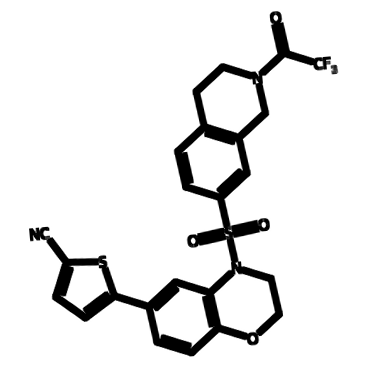 N#Cc1ccc(-c2ccc3c(c2)N(S(=O)(=O)c2ccc4c(c2)CN(C(=O)C(F)(F)F)CC4)CCO3)s1